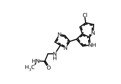 CNC(=O)CNc1cncc(-c2c[nH]c3ncc(Cl)cc23)n1